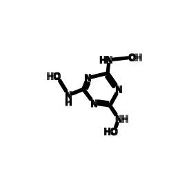 ONc1nc(NO)nc(NO)n1